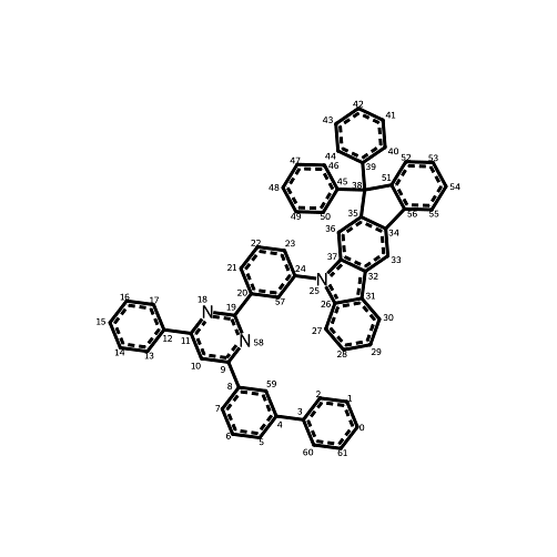 c1ccc(-c2cccc(-c3cc(-c4ccccc4)nc(-c4cccc(-n5c6ccccc6c6cc7c(cc65)C(c5ccccc5)(c5ccccc5)c5ccccc5-7)c4)n3)c2)cc1